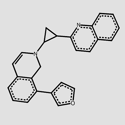 C1=CN(C2CC2c2ccc3ccccc3n2)Cc2c1cccc2-c1ccoc1